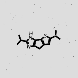 CC(C)c1nc2c([nH]1)-c1sc(C(C)C)cc1C2